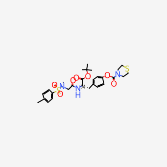 Cc1ccc(S(=O)(=O)N(C)CC(=O)N[C@@H](Cc2ccc(OC(=O)N3CCSCC3)cc2)C(=O)OC(C)(C)C)cc1